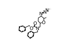 CC1OC(CN(Cc2ccccc2)C(=O)OCc2ccccc2)CCC1N=[N+]=[N-]